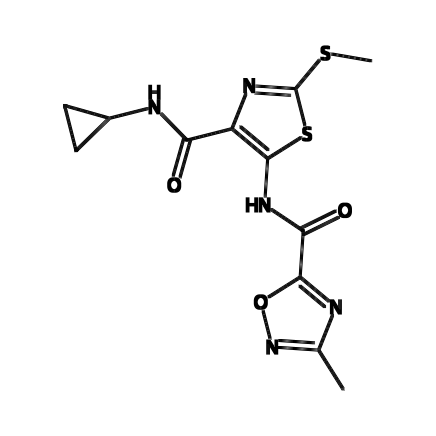 CSc1nc(C(=O)NC2CC2)c(NC(=O)c2nc(C)no2)s1